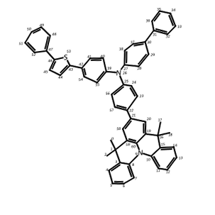 CC1(C)c2ccccc2N2c3ccccc3C(C)(C)c3cc(-c4ccc(N(c5ccc(-c6ccccc6)cc5)c5ccc(-c6ccc(-c7ccccc7)s6)cc5)cc4)cc1c32